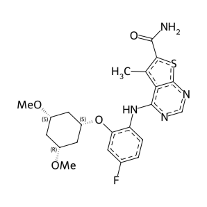 CO[C@@H]1C[C@H](OC)C[C@H](Oc2cc(F)ccc2Nc2ncnc3sc(C(N)=O)c(C)c23)C1